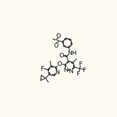 Cc1c(Oc2nnc(C(F)(F)F)c(C)c2C(=O)Nc2cccc(S(C)(=O)=O)c2)ncc(C2(C)CC2)c1F